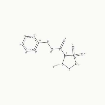 C[C@H]1COS(=O)(=O)N1C(=O)OCc1ccccc1